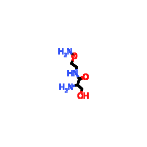 NOCCNC(=O)C(N)CO